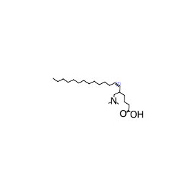 CCCCCCCCCCCC/C=C\C(CCCC(=O)O)CN(C)C